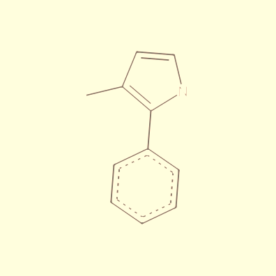 CC1=C(c2ccccc2)[N]C=C1